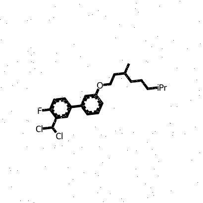 CC(C)CCCC(C)CCOc1cccc(-c2ccc(F)c(C(Cl)Cl)c2)c1